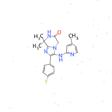 Cc1ccnc(Nc2c(-c3ccc(F)cc3)nc3n2CC(=O)NC3(C)C)c1